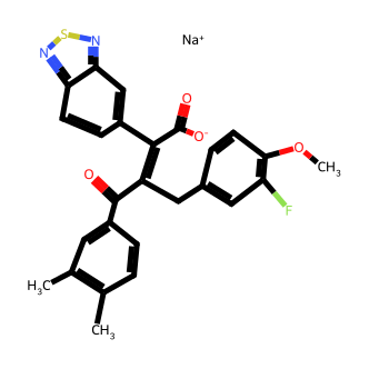 COc1ccc(CC(C(=O)c2ccc(C)c(C)c2)=C(C(=O)[O-])c2ccc3nsnc3c2)cc1F.[Na+]